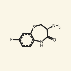 N[C@@H]1CSc2cc(F)ccc2NC1=O